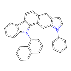 c1ccc(-n2ccc3cc4ccc5c6ccccc6n(-c6cccc7ccccc67)c5c4cc32)cc1